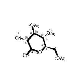 CC(=O)OC[C@H]1OC(Cl)[C@H](N=O)[C@@H](OC(C)=O)[C@@H]1OC(C)=O